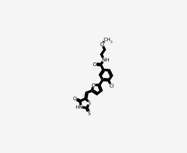 COCCNC(=O)c1ccc(Cl)c(-c2ccc(/C=C3\SC(=S)NC3=O)o2)c1